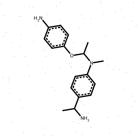 CC(N)c1ccc(N(C)C(C)Oc2ccc(N)cc2)cc1